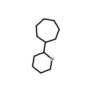 C1CCCC(C2CCCC[N]2)CC1